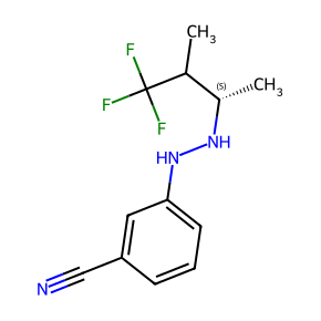 CC([C@H](C)NNc1cccc(C#N)c1)C(F)(F)F